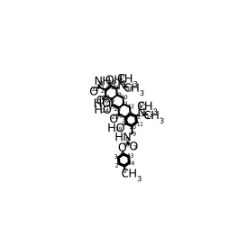 Cc1ccc(OC(=O)NCc2cc(N(C)C)c3c(c2O)C(=O)C2=C(O)C4(O)C(=O)C(C(N)=O)=C(O)C(N(C)C)C4CC2C3)cc1